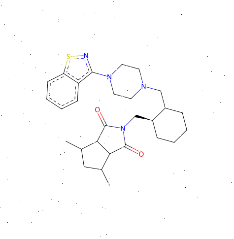 CC1CC(C)C2C(=O)N(C[C@@H]3CCCCC3CN3CCN(c4nsc5ccccc45)CC3)C(=O)C12